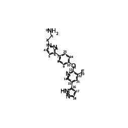 NCCn1ccc(-c2ccc(Oc3ncc(-c4ccn[nH]4)cc3F)cc2)n1